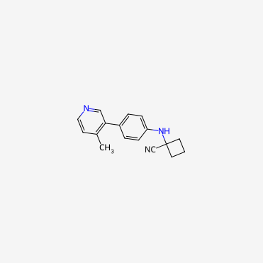 Cc1ccncc1-c1ccc(NC2(C#N)CCC2)cc1